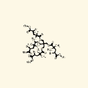 CC(C)(C)OC(=O)C(Br)CC(C)(C)C(=O)OCC(COC(=O)C(C)(C)CC(Br)C(=O)OC(C)(C)C)(COC(=O)C(C)(C)CC(Br)C(=O)OC(C)(C)C)COC(=O)C(C)(C)CC(Br)C(=O)C(C)(C)C